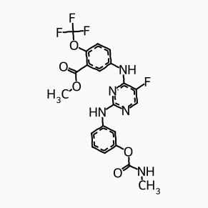 CNC(=O)Oc1cccc(Nc2ncc(F)c(Nc3ccc(OC(F)(F)F)c(C(=O)OC)c3)n2)c1